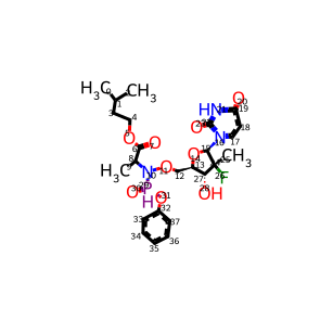 CC(C)CCOC(=O)C(C)N(OC[C@H]1O[C@@H](n2ccc(=O)[nH]c2=O)[C@](C)(F)[C@@H]1O)[PH](=O)Oc1ccccc1